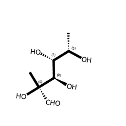 C[C@H](O)[C@@H](O)[C@@H](O)[C@](C)(O)C=O